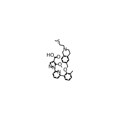 COc1c(C(=O)O)cnn1-c1cccc(-c2cccc(C)c2OCc2ccc3c(c2)CCN(CCSC)C3)n1